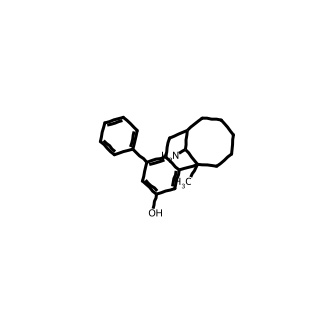 CC12CCCCCC(Cc3c(-c4ccccc4)cc(O)cc31)C2N